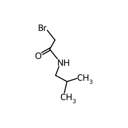 CC(C)CNC(=O)CBr